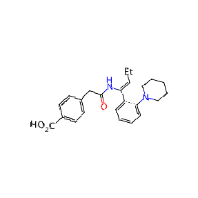 CCC=C(NC(=O)Cc1ccc(C(=O)O)cc1)c1ccccc1N1CCCCC1